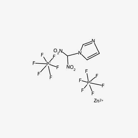 F[P-](F)(F)(F)(F)F.F[P-](F)(F)(F)(F)F.O=[N+]([O-])C(n1ccnc1)[N+](=O)[O-].[Zn+2]